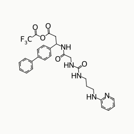 O=C(CNC(=O)NCCCNc1ccccn1)NC(CC(=O)OC(=O)C(F)(F)F)c1ccc(-c2ccccc2)cc1